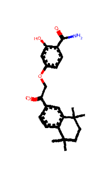 CC1(C)CCC(C)(C)c2cc(C(=O)COc3ccc(C(N)=O)c(O)c3)ccc21